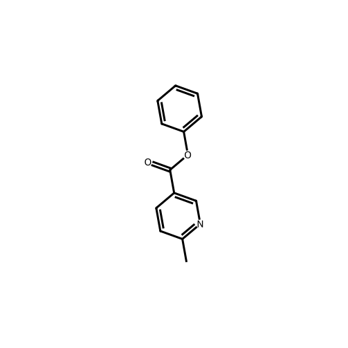 Cc1ccc(C(=O)Oc2ccccc2)cn1